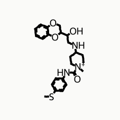 CSc1ccc(NC(=O)[N+]2(C)CCC(NCC(O)C3COc4ccccc4O3)CC2)cc1